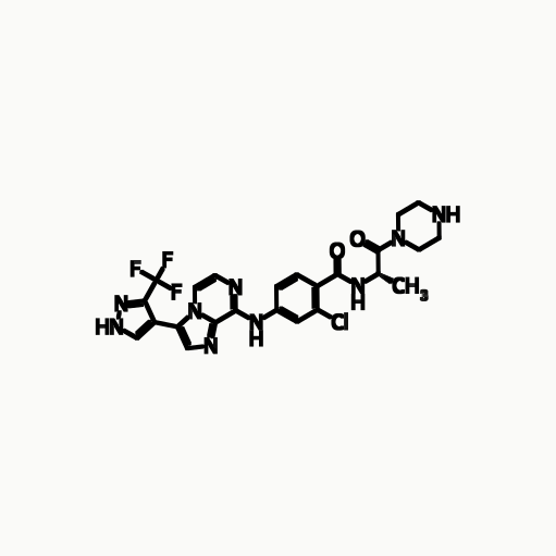 C[C@@H](NC(=O)c1ccc(Nc2nccn3c(-c4c[nH]nc4C(F)(F)F)cnc23)cc1Cl)C(=O)N1CCNCC1